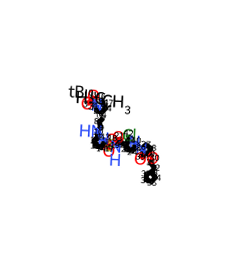 CC(C)(C)OC(=O)N1C[C@@H](CCCNc2cccc(S(=O)(=O)NC(=O)c3ccc(N4CCC(OCCC5CCCC5)C4=O)nc3Cl)n2)CC1(C)C